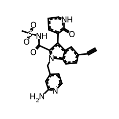 C#Cc1ccc2c(c1)c(-c1ccc[nH]c1=O)c(C(=O)NS(C)(=O)=O)n2Cc1ccnc(N)c1